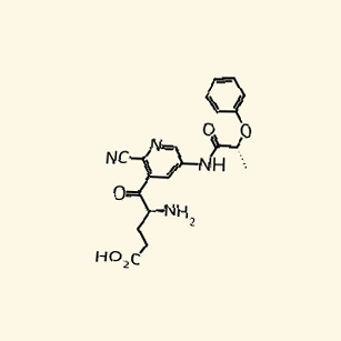 C[C@@H](Oc1ccccc1)C(=O)Nc1cnc(C#N)c(C(=O)[C@@H](N)CCC(=O)O)c1